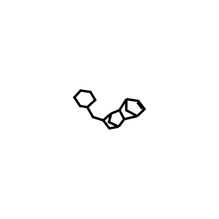 C1=CC2CC1C1C3CC(CC4CCCCC4)C(C3)C21